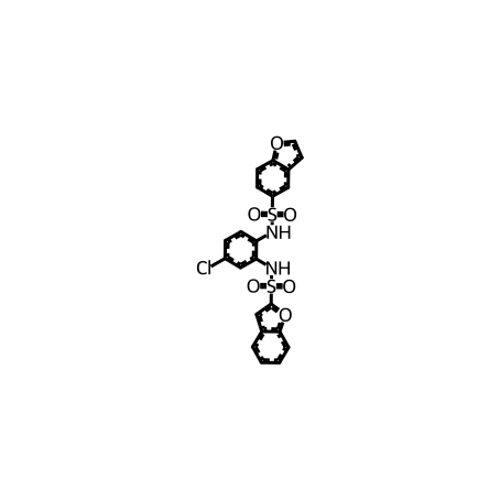 O=S(=O)(Nc1ccc(Cl)cc1NS(=O)(=O)c1cc2ccccc2o1)c1ccc2occc2c1